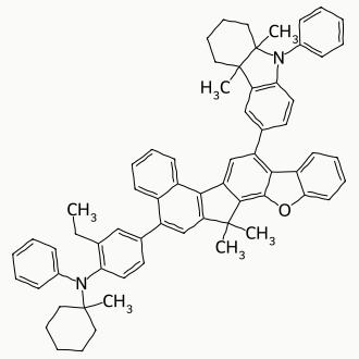 CCc1cc(-c2cc3c(c4ccccc24)-c2cc(-c4ccc5c(c4)C4(C)CCCCC4(C)N5c4ccccc4)c4c(oc5ccccc54)c2C3(C)C)ccc1N(c1ccccc1)C1(C)CCCCC1